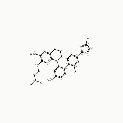 COc1cc2c(cc1OCCN(C)C)N(c1cc(C=O)ccc1-c1ccc(-c3noc(C)n3)cc1C)CCC2